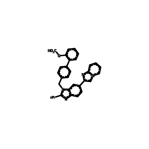 CCCc1nc2ccc(-c3cn4ccccc4n3)cc2n1Cc1ccc(-c2ccccc2OC(=O)O)cc1